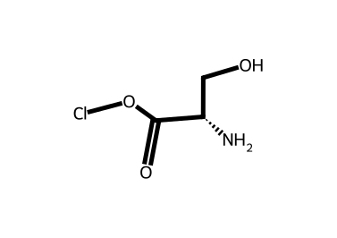 N[C@@H](CO)C(=O)OCl